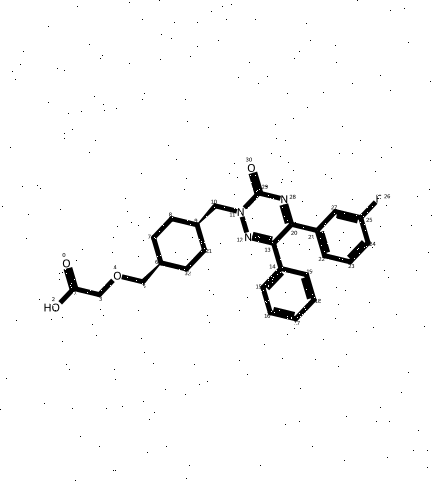 O=C(O)COC[C@H]1CC[C@@H](Cn2nc(-c3ccccc3)c(-c3cccc(F)c3)nc2=O)CC1